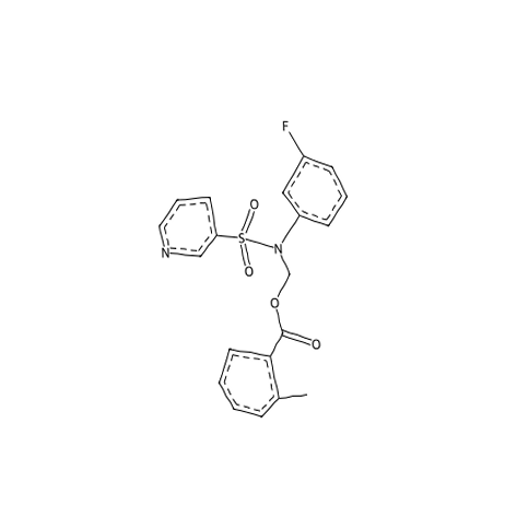 Cc1ccccc1C(=O)OCN(c1cccc(F)c1)S(=O)(=O)c1cccnc1